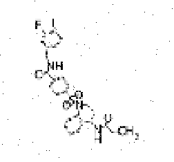 C=CC(=O)NC1CCN(S(=O)(=O)c2ccc(C(=O)NCc3ccc(F)c(F)c3)cc2)c2ccccc21